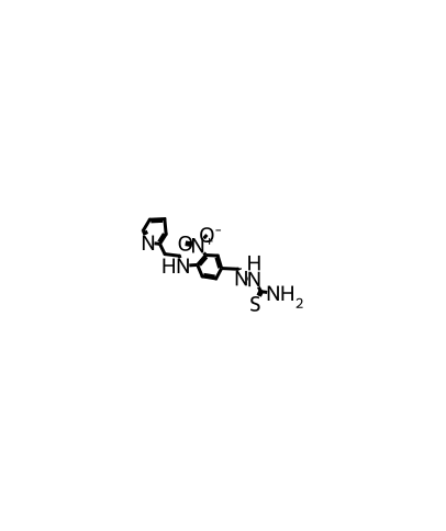 NC(=S)NN=Cc1ccc(NCCc2ccccn2)c([N+](=O)[O-])c1